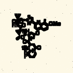 C=C[C@@H]1C[C@]1(NC(=O)[C@@H]1C[C@@H](Oc2cc(-c3csc(C(C)C)n3)nc3c(C)c(OC)ccc23)CN1C(=O)[C@@H](CC(=O)N1CCCC(F)(F)C1)C(C)(C)C)C(=O)NS(=O)(=O)C1CC1